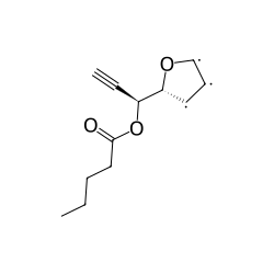 C#C[C@H](OC(=O)CCCC)[C@H]1[CH][CH][CH]O1